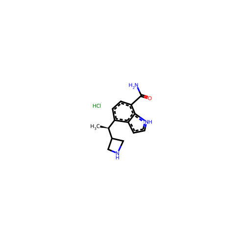 C[C@@H](c1ccc(C(N)=O)c2[nH]ccc12)C1CNC1.Cl